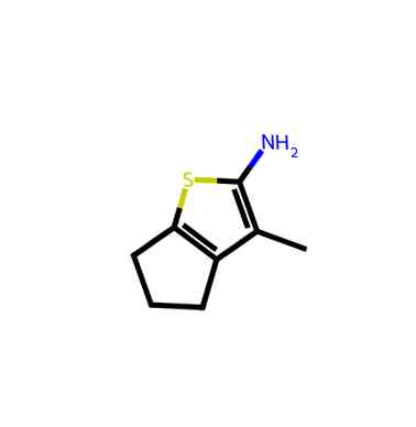 Cc1c(N)sc2c1CCC2